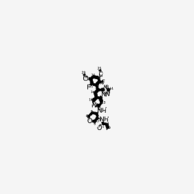 C=CC(=O)N[C@@H]1COCC[C@@H]1Nc1cc2c(cn1)cc(-c1c(F)c(OC)cc(OC)c1F)c1ncnn12